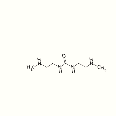 CNCCNC(=O)NCCNC